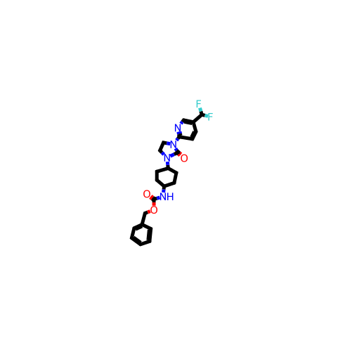 O=C(NC1CCC(N2CCN(c3ccc(C(F)F)cn3)C2=O)CC1)OCc1ccccc1